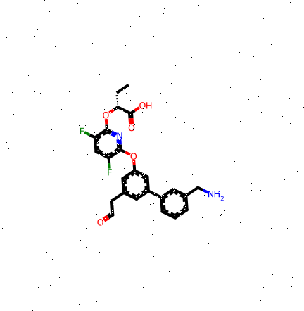 CC[C@@H](Oc1nc(Oc2cc(CC=O)cc(-c3cccc(CN)c3)c2)c(F)cc1F)C(=O)O